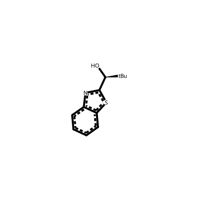 CC(C)(C)[C@H](O)c1nc2ccccc2s1